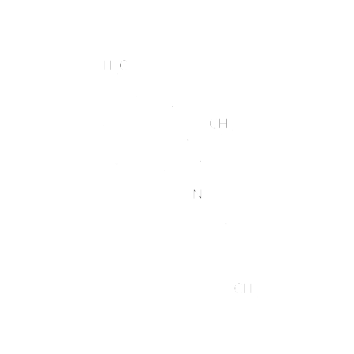 CCCN=CC1(C)C=CC=C(C)C1